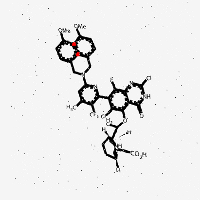 COc1ccc(CN(Cc2ccc(OC)cc2)c2cc(C)c(C(F)(F)F)c(-c3c(Cl)c(OC(C)[C@H]4NC[C@H]5CC[C@@H]4CN5C(=O)O)c4c(=O)[nH]c(Cl)nc4c3F)n2)cc1